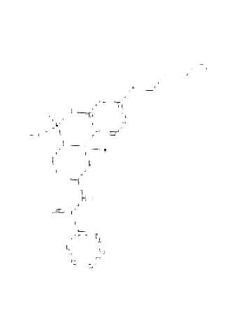 CCCCCc1ccc2c(c1)OC(C)(C)C1CCC(NC(=O)c3ccccc3)CC21O